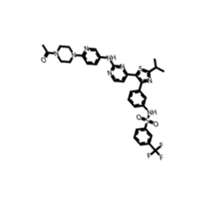 CC(=O)N1CCN(c2ccc(Nc3nccc(-c4sc(C(C)C)nc4-c4cccc(NS(=O)(=O)c5cccc(C(F)(F)F)c5)c4)n3)cn2)CC1